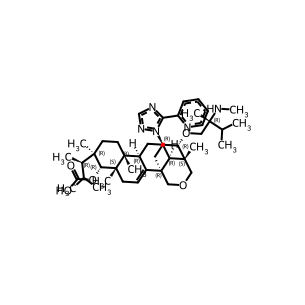 CN[C@@](C)(CO[C@H]1[C@H](n2ncnc2-c2ccccn2)C[C@@]23COC[C@]1(C)[C@@H]2CC[C@H]1C3=CC[C@]2(C)[C@H](OC(=O)O)[C@@](C)([C@H](C)C(C)C)CC[C@]12C)C(C)C